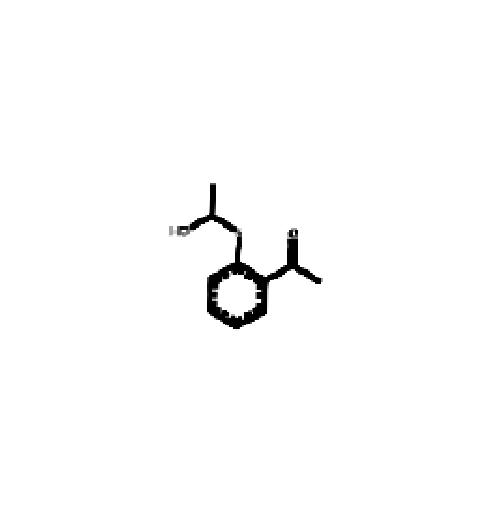 CC(=O)c1ccccc1SC(C)O